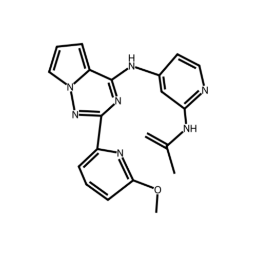 C=C(C)Nc1cc(Nc2nc(-c3cccc(OC)n3)nn3cccc23)ccn1